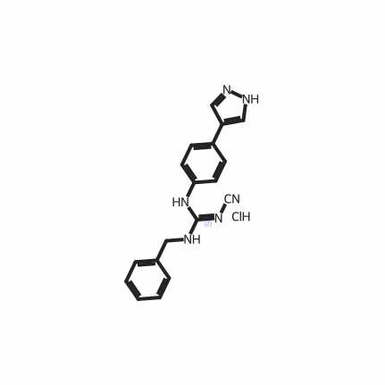 Cl.N#C/N=C(/NCc1ccccc1)Nc1ccc(-c2cn[nH]c2)cc1